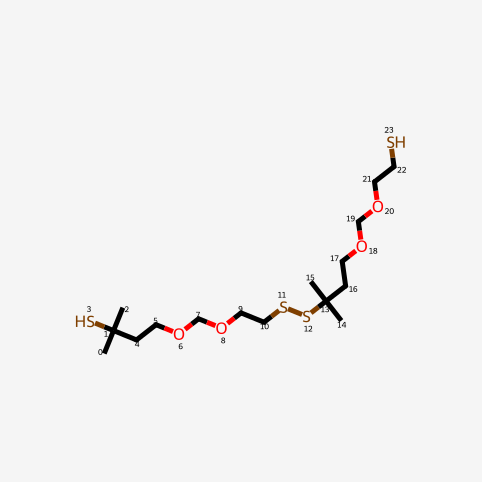 CC(C)(S)CCOCOCCSSC(C)(C)CCOCOCCS